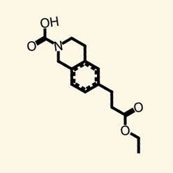 CCOC(=O)CCc1ccc2c(c1)CCN(C(=O)O)C2